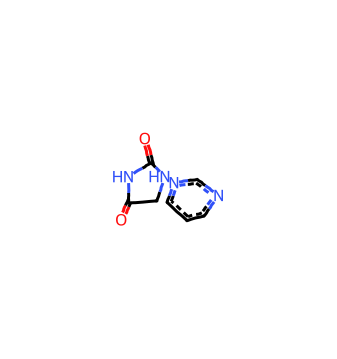 O=C1CNC(=O)N1.c1cncnc1